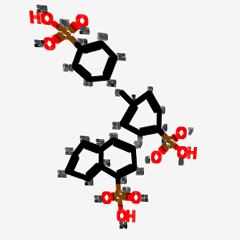 Cc1ccc(S(=O)(=O)O)cc1.O=S(=O)(O)c1cccc2ccccc12.O=S(=O)(O)c1ccccc1